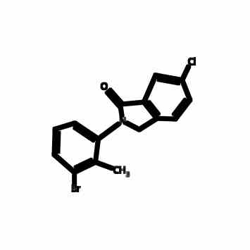 Cc1c(Br)cccc1N1Cc2ccc(Cl)cc2C1=O